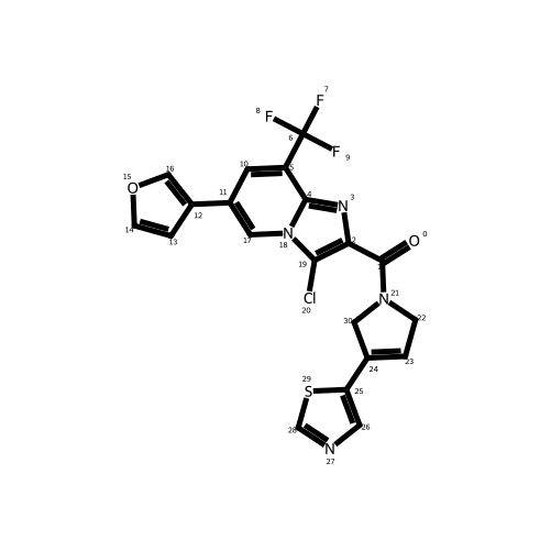 O=C(c1nc2c(C(F)(F)F)cc(-c3ccoc3)cn2c1Cl)N1CC=C(c2cncs2)C1